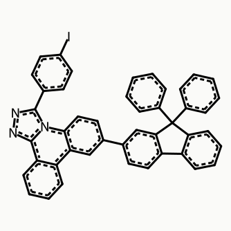 Ic1ccc(-c2nnc3c4ccccc4c4cc(-c5ccc6c(c5)C(c5ccccc5)(c5ccccc5)c5ccccc5-6)ccc4n23)cc1